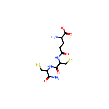 NC(=O)C(CS)NC(=O)C(CS)NC(=O)CCC(N)C(=O)O